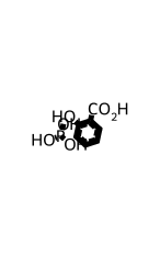 O=C(O)c1ccccc1O.OP(O)O